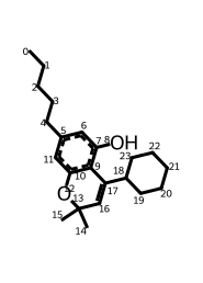 CCCCCc1cc(O)c2c(c1)OC(C)(C)C=C2C1CCCCC1